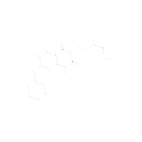 CC(C)n1c(=O)n(CCNC(=O)OC(C)(C)C)c(=O)c2cc(F)c(NC3CCCCC3)cc21